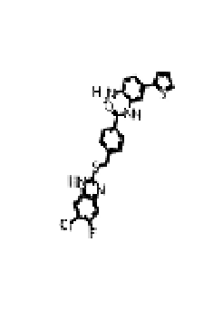 Nc1ccc(-c2cccs2)cc1NC(=O)c1ccc(CSc2nc3cc(F)c(Cl)cc3[nH]2)cc1